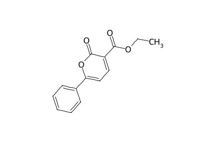 CCOC(=O)c1ccc(-c2ccccc2)oc1=O